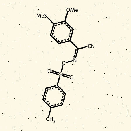 COc1cc(/C(C#N)=N\OS(=O)(=O)c2ccc(C)cc2)ccc1SC